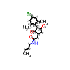 C/C=C/CNC(=O)CC1CC(=O)C(c2c(C)cc(Br)cc2C)C1=O